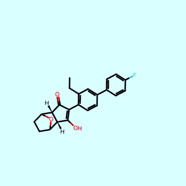 CCc1cc(-c2ccc(F)cc2)ccc1C1=C(O)[C@@H]2C3CCC(O3)[C@@H]2C1=O